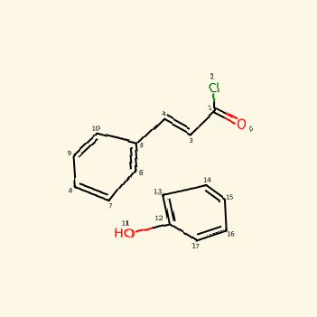 O=C(Cl)C=Cc1ccccc1.Oc1ccccc1